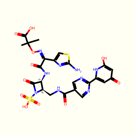 CC(C)(O/N=C(\C(=O)N[C@@H]1C(=O)N(S(=O)(=O)O)[C@@H]1CNC(=O)c1cnc(-c2cc(=O)cc(O)[nH]2)nc1)c1csc(N)n1)C(=O)O